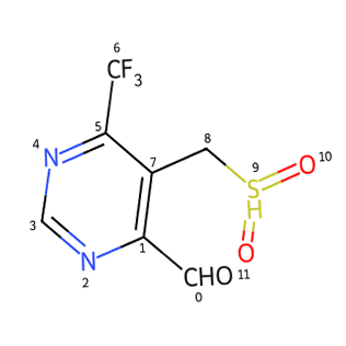 O=Cc1ncnc(C(F)(F)F)c1C[SH](=O)=O